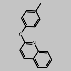 Cc1ccc(Oc2ccc3ccccc3n2)cc1